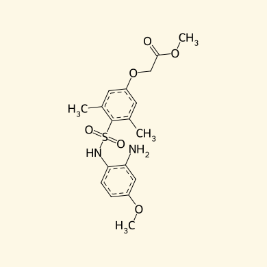 COC(=O)COc1cc(C)c(S(=O)(=O)Nc2ccc(OC)cc2N)c(C)c1